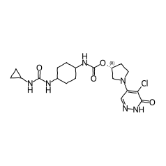 O=C(NC1CC1)NC1CCC(NC(=O)O[C@@H]2CCN(c3cn[nH]c(=O)c3Cl)C2)CC1